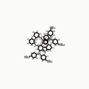 CC(C)(C)c1ccc(N(c2ccc(C(C)(C)C)cc2)c2cc3c(c4c2sc2ccccc24)-c2c(cc(N(c4ccc(C(C)(C)C)cc4)c4ccc(C(C)(C)C)cc4)c4c2sc2ccccc24)Cc2ccccc2-c2ccccc2C3)cc1